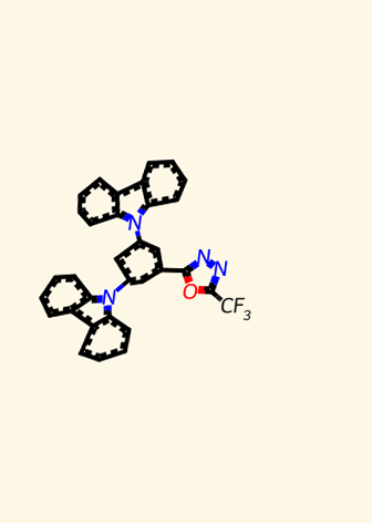 FC(F)(F)c1nnc(-c2cc(-n3c4ccccc4c4ccccc43)cc(-n3c4ccccc4c4ccccc43)c2)o1